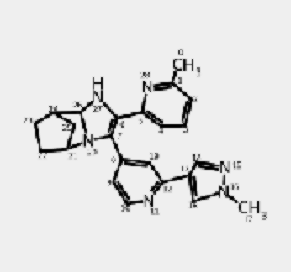 Cc1cccc(C2=C(c3ccnc(-c4cnn(C)c4)c3)N3C4CCC(C4)C3N2)n1